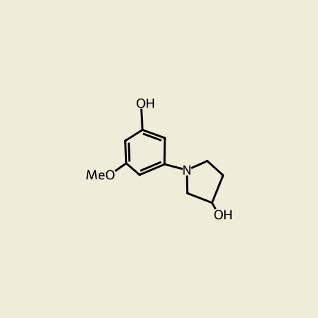 COc1cc(O)cc(N2CCC(O)C2)c1